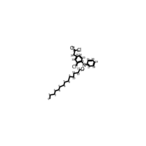 CCCCCCCCCCCCCCON(c1ccccc1)c1ccc(CC(=O)Cl)cc1Cl